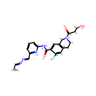 CCCC/C=N/N=C/c1cccc(NC(=O)c2cc3c(cc2F)CCN(C(=O)CCO)C3)n1